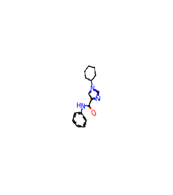 O=C(Nc1ccccc1)c1cn(C2CCCCC2)cn1